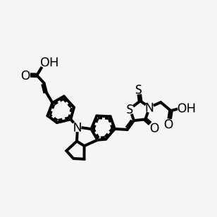 O=C(O)C=Cc1ccc(N2c3ccc(/C=C4\SC(=S)N(CC(=O)O)C4=O)cc3C3CCCC32)cc1